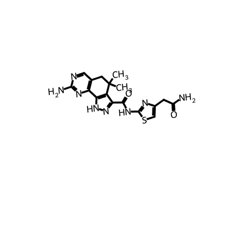 CC1(C)Cc2cnc(N)nc2-c2[nH]nc(C(=O)Nc3nc(CC(N)=O)cs3)c21